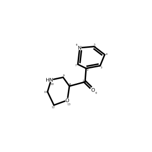 O=C(c1cc[c]nc1)C1CNCCO1